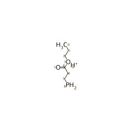 CCCOC(=O)CCP.[H+]